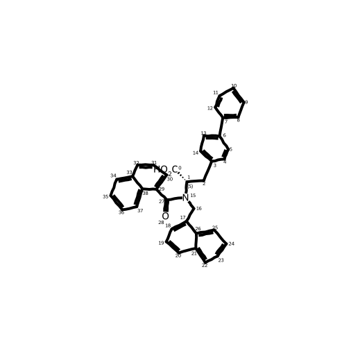 O=C(O)[C@H](Cc1ccc(-c2ccccc2)cc1)N(Cc1cccc2ccccc12)C(=O)c1cccc2ccccc12